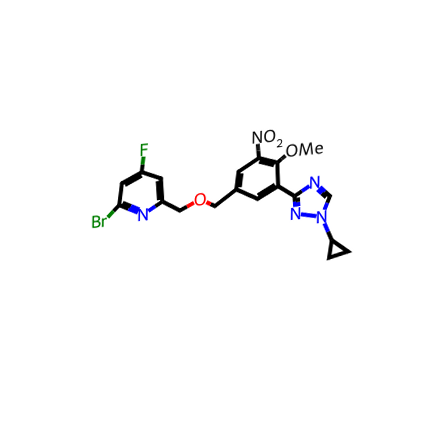 COc1c(-c2ncn(C3CC3)n2)cc(COCc2cc(F)cc(Br)n2)cc1[N+](=O)[O-]